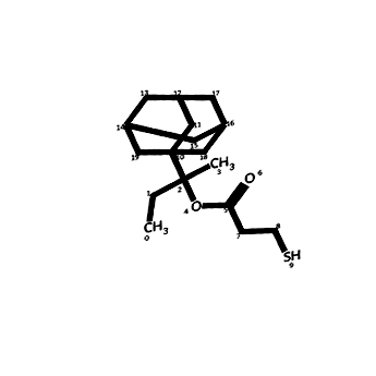 CCC(C)(OC(=O)CCS)C12CC3CC(CC(C3)C1)C2